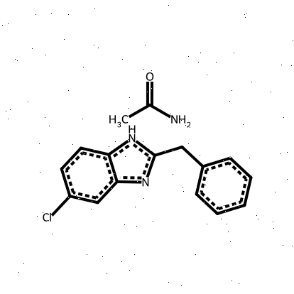 CC(N)=O.Clc1ccc2[nH]c(Cc3ccccc3)nc2c1